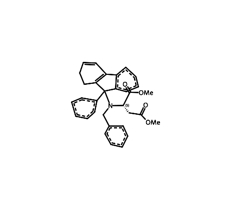 COC(=O)C[C@@H](C(=O)OC)N(Cc1ccccc1)C1(c2ccccc2)C2=C(C=CCC2)c2ccccc21